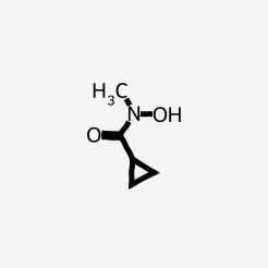 CN(O)C(=O)C1CC1